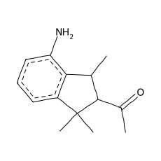 CC(=O)C1C(C)c2c(N)cccc2C1(C)C